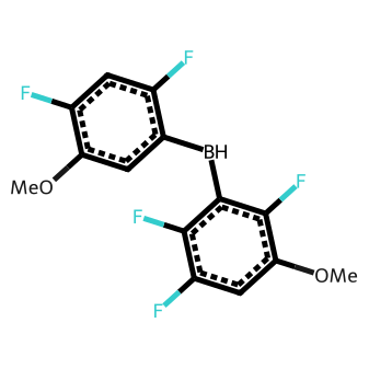 COc1cc(Bc2c(F)c(F)cc(OC)c2F)c(F)cc1F